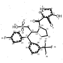 O=C(c1n[nH]cc(O)c1=O)N1CCC[C@@H]1[C@H](CS(=O)(=O)O)[C@H](c1ccc(F)cc1)c1cccc(C(F)(F)F)c1